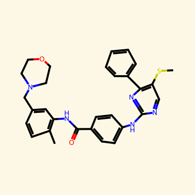 CSc1cnc(Nc2ccc(C(=O)Nc3cc(CN4CCOCC4)ccc3C)cc2)nc1-c1ccccc1